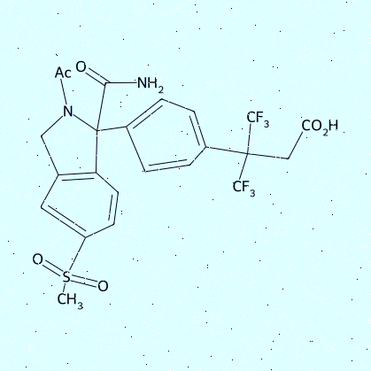 CC(=O)N1Cc2cc(S(C)(=O)=O)ccc2C1(C(N)=O)c1ccc(C(CC(=O)O)(C(F)(F)F)C(F)(F)F)cc1